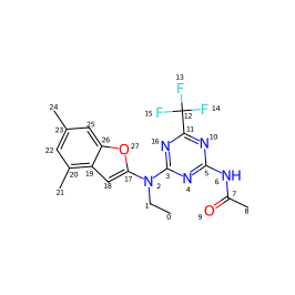 CCN(c1nc(NC(C)=O)nc(C(F)(F)F)n1)c1cc2c(C)cc(C)cc2o1